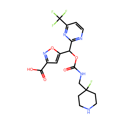 O=C(NCC1(F)CCNCC1)OC(c1nccc(C(F)(F)F)n1)c1cc(C(=O)O)no1